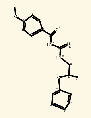 COc1ccc(C(=O)NC(=N)NCC(C)Oc2ccccc2)cc1